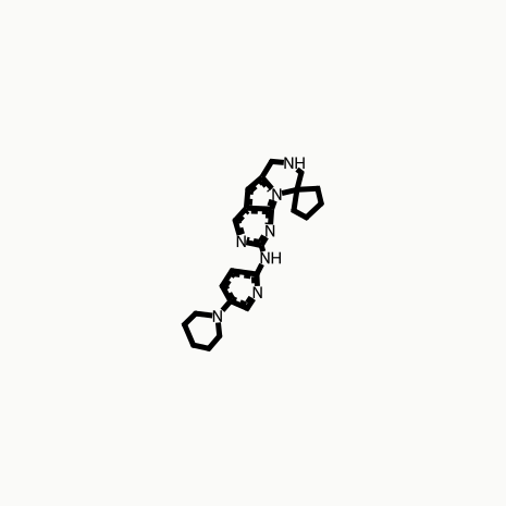 c1cc(Nc2ncc3cc4n(c3n2)C2(CCCC2)CNC4)ncc1N1CCCCC1